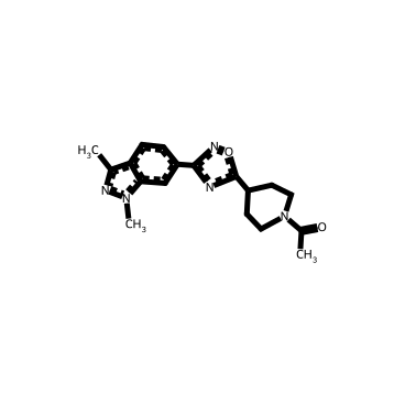 CC(=O)N1CCC(c2nc(-c3ccc4c(C)nn(C)c4c3)no2)CC1